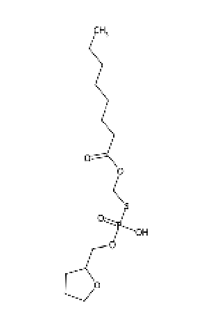 CCCCCCCC(=O)OCSP(=O)(O)OCC1CCCO1